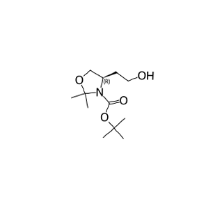 CC(C)(C)OC(=O)N1[C@H](CCO)COC1(C)C